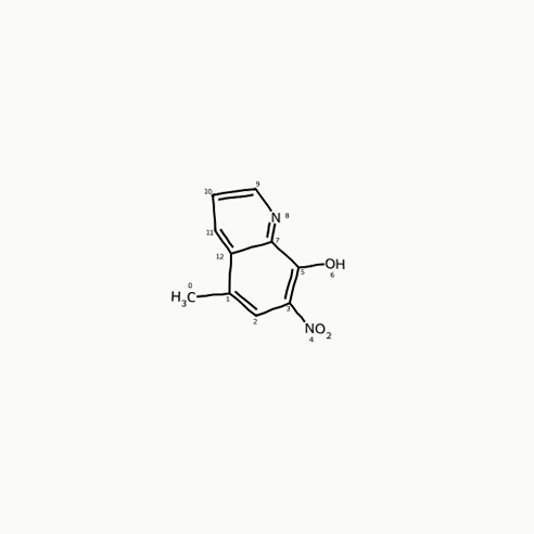 Cc1cc([N+](=O)[O-])c(O)c2ncccc12